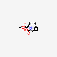 CCOC(=O)C=C(C)N[C@@H](Cc1ccccc1)C(=O)O.[NaH]